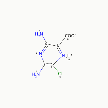 Nc1nc(N)c(C(=O)[O-])nc1Cl.[Li+]